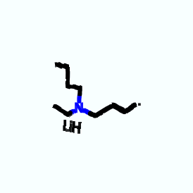 [CH2]/C=C/CN(CC)CCCC.[LiH]